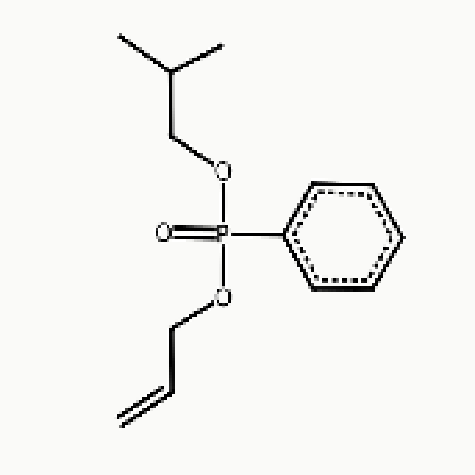 C=CCOP(=O)(OCC(C)C)c1ccccc1